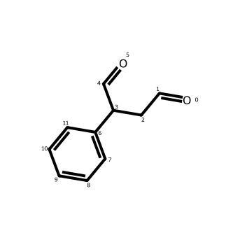 O=CCC(C=O)c1ccccc1